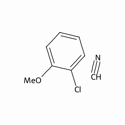 C#N.COc1ccccc1Cl